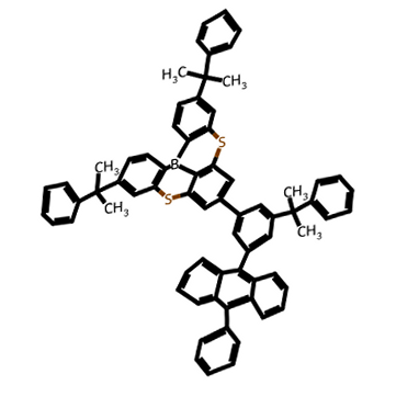 CC(C)(c1ccccc1)c1cc(-c2cc3c4c(c2)Sc2cc(C(C)(C)c5ccccc5)ccc2B4c2ccc(C(C)(C)c4ccccc4)cc2S3)cc(-c2c3ccccc3c(-c3ccccc3)c3ccccc23)c1